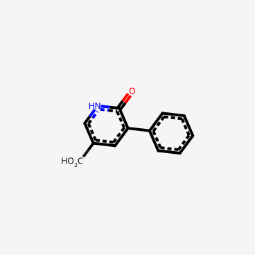 O=C(O)c1c[nH]c(=O)c(-c2ccccc2)c1